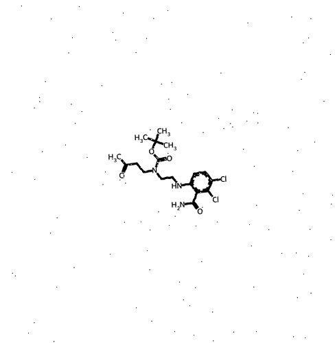 CC(=O)CCN(CCNc1ccc(Cl)c(Cl)c1C(N)=O)C(=O)OC(C)(C)C